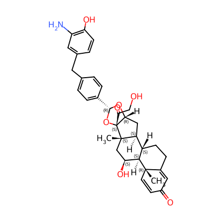 C[C@]12C=CC(=O)C=C1CC[C@@H]1[C@@H]2[C@@H](O)C[C@@]2(C)[C@H]1C[C@H]1O[C@@H](c3ccc(Cc4ccc(O)c(N)c4)cc3)O[C@]12C(=O)CO